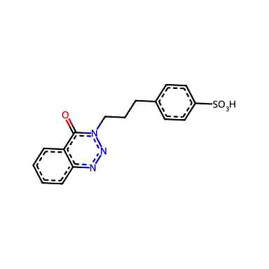 O=c1c2ccccc2nnn1CCCc1ccc(S(=O)(=O)O)cc1